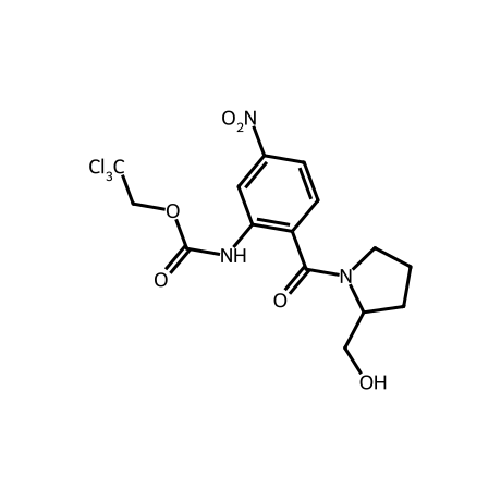 O=C(Nc1cc([N+](=O)[O-])ccc1C(=O)N1CCCC1CO)OCC(Cl)(Cl)Cl